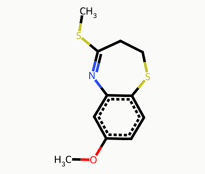 COc1ccc2c(c1)N=C(SC)CCS2